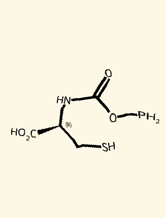 O=C(N[C@@H](CS)C(=O)O)OP